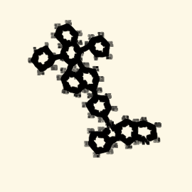 c1ccc(-c2c3c(c(-c4ccccc4)c4ccccc24)-c2ccc(-c4ccc(-n5c6ccccc6c6cc7ncccc7cc65)cc4)c4cccc-3c24)cc1